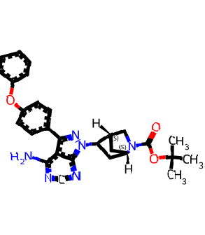 CC(C)(C)OC(=O)N1C[C@@H]2C[C@H]1CC2n1nc(-c2ccc(Oc3ccccc3)cc2)c2c(N)ncnc21